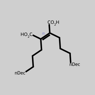 CCCCCCCCCCCCC/C(C(=O)O)=C(\CCCCCCCCCCCCC)C(=O)O